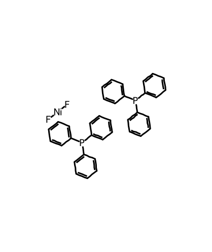 [F][Ni][F].c1ccc(P(c2ccccc2)c2ccccc2)cc1.c1ccc(P(c2ccccc2)c2ccccc2)cc1